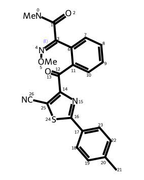 CNC(=O)/C(=N/OC)c1ccccc1C(=O)c1nc(-c2ccc(C)cc2)sc1C#N